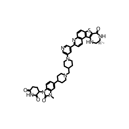 C[C@@H]1CNc2c(sc3ccc4nc(-c5cncc(N6CCC(CN7CCC(c8ccc9c(c8)n(C)c(=O)n9C8CCC(=O)NC8=O)CC7)CC6)c5)ccc4c23)C(=O)N1